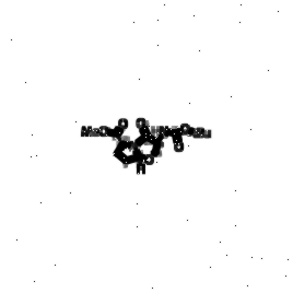 COC(=O)[C@H]1CC[C@@H]2OC[C@H](NC(=O)OC(C)(C)C)C(=O)N21